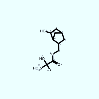 O=C(OCC1CC2CC(O)C1C2)C(O)(F)S(=O)(=O)O